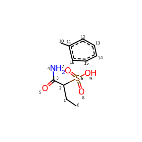 CCC(C(N)=O)S(=O)(=O)O.Cc1ccccc1